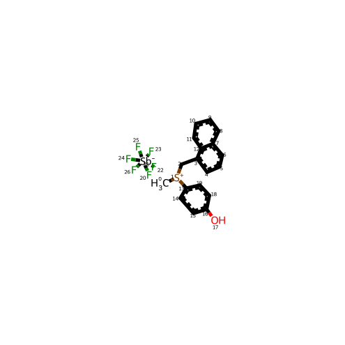 C[S+](Cc1cccc2ccccc12)c1ccc(O)cc1.[F][Sb-]([F])([F])([F])([F])[F]